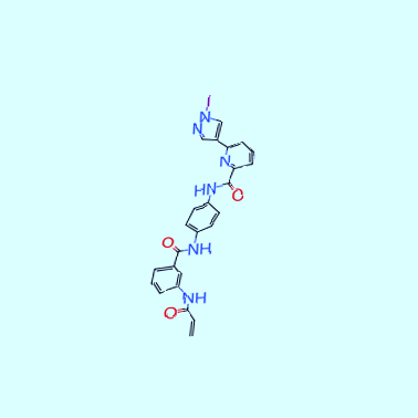 C=CC(=O)Nc1cccc(C(=O)Nc2ccc(NC(=O)c3cccc(-c4cnn(I)c4)n3)cc2)c1